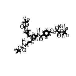 CC(C)(C)OC(=O)NCCCn1cc(NC(=O)c2ccc(OC[C@H](ON)C(=O)OC(C)(C)C)cc2)c[n+]1CC1CN(C(=O)OC(C)(C)C)C1